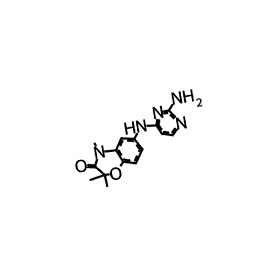 CN1C(=O)C(C)(C)Oc2ccc(Nc3ccnc(N)n3)cc21